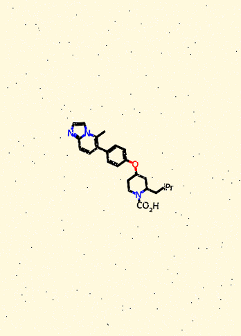 Cc1c(-c2ccc(OC3CCN(C(=O)O)C(CC(C)C)C3)cc2)ccc2nccn12